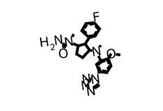 COc1ccc(-n2cnnn2)cc1N(C)C1CCC(N(C)C(N)=O)C1c1ccc(F)cc1